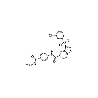 CC(C)(C)OC(=O)c1ccc(NC(=O)c2ccc3ccn(S(=O)(=O)c4cccc(Cl)c4)c3c2)cc1